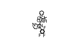 CN1CCCn2c(-c3cc(F)c(F)cc3F)nc(C(=O)N[C@H](C(=O)N3CCCCC3)C(C)(C)C)c2C1